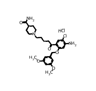 COc1cc(COc2cc(N)c(Cl)cc2C(=O)CCCCN2CCC(C(N)=O)CC2)cc(OC)c1.Cl